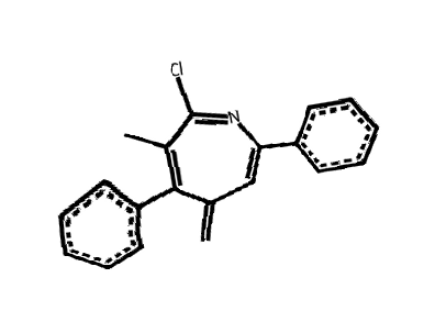 C=C1C=C(c2ccccc2)N=C(Cl)C(C)=C1c1ccccc1